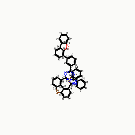 c1ccc(-c2nc(-c3cccc(-c4cccc5c4oc4ccccc45)c3)nc(-c3cccc4sc5cccc(-c6nc7ccccc7s6)c5c34)n2)cc1